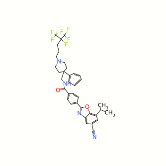 CC(C)c1cc(C#N)cc2nc(-c3ccc(C(=O)NCC4(c5ccccc5)CCN(CCCC(F)(C(F)(F)F)C(F)(F)F)CC4)cc3)oc12